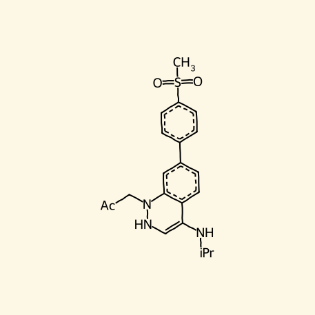 CC(=O)CN1NC=C(NC(C)C)c2ccc(-c3ccc(S(C)(=O)=O)cc3)cc21